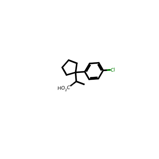 CC(C(=O)O)C1(c2ccc(Cl)cc2)CCCC1